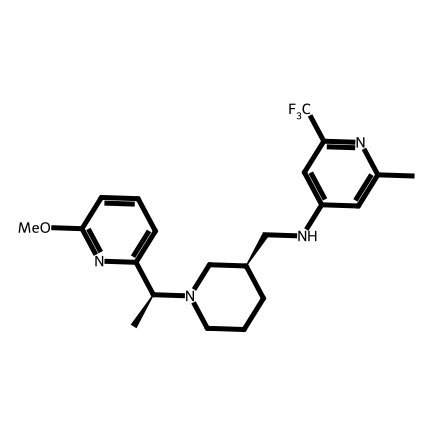 COc1cccc([C@H](C)N2CCC[C@H](CNc3cc(C)nc(C(F)(F)F)c3)C2)n1